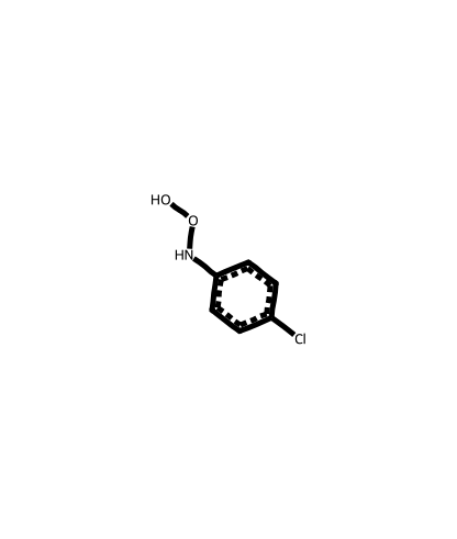 OONc1ccc(Cl)cc1